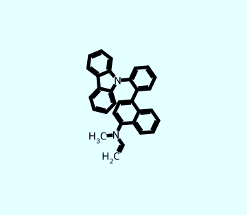 C=CN(C)c1ccc(-c2ccccc2-n2c3ccccc3c3ccccc32)c2ccccc12